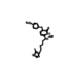 COc1ccc(Cc2cnc(NCCSCc3nc[nH]c3C)[nH]c2=S)cc1.Cl.Cl